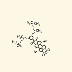 CC(C)CCCC(C)CCc1cc(CCC(C)CCCC(C)C)cc(N2C(=O)c3ccc4c5c(C#N)cc6c7c(ccc(c8c(C#N)cc(c3c48)C2=O)c75)C(=O)OC6=O)c1